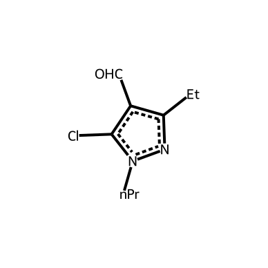 CCCn1nc(CC)c(C=O)c1Cl